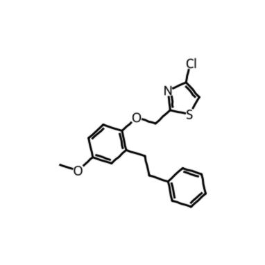 COc1ccc(OCc2nc(Cl)cs2)c(CCc2ccccc2)c1